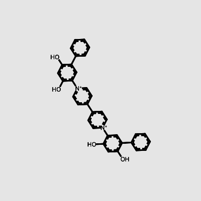 Oc1cc(O)c(-[n+]2ccc(-c3cc[n+](-c4cc(-c5ccccc5)c(O)cc4O)cc3)cc2)cc1-c1ccccc1